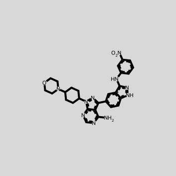 Nc1ncnc2c1c(-c1ccc3[nH]nc(Nc4cccc([N+](=O)[O-])c4)c3c1)nn2C1CCC(N2CCOCC2)CC1